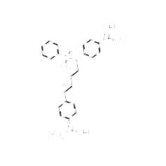 CN(C)c1ccc(/C=C/C=C/C(c2ccc(N(C)C)cc2)S(=O)(=O)c2ccccc2)cc1